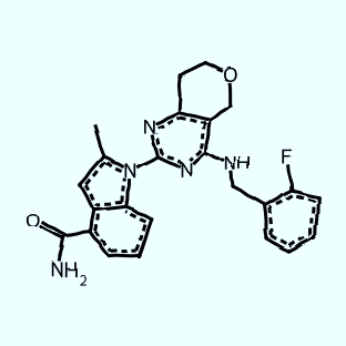 Cc1cc2c(C(N)=O)cccc2n1-c1nc2c(c(NCc3ccccc3F)n1)COCC2